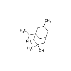 CC1CC2CC(C)(O)CC(C(C)N)(C1)C2